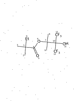 CCC(C)(C)C(=O)OC(C)(C)C(O)(C(F)(F)F)C(F)(F)F